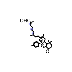 CC(=CC=C/C(C)=C/C=C/C=C(\C)C=O)CC(C1=C(C)C(=O)CCC1(C)C)S(=O)(=O)c1ccc(C)cc1